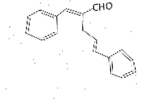 O=CC(=Cc1ccccc1)CC=Cc1ccccc1